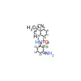 CC(C)(C#N)c1cccc(C(=O)Nc2cccc(N)c2F)c1